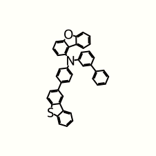 c1ccc(-c2cccc(N(c3ccc(-c4ccc5sc6ccccc6c5c4)cc3)c3cccc4oc5ccccc5c34)c2)cc1